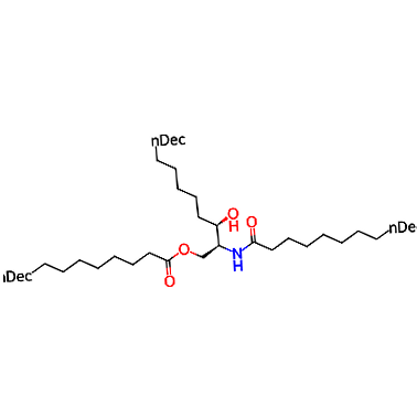 CCCCCCCCCCCCCCCCCC(=O)N[C@@H](COC(=O)CCCCCCCCCCCCCCCCC)[C@H](O)CCCCCCCCCCCCCCC